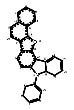 C1=CCCC(N2c3ccc4c(oc5c6ccccc6ccc45)c3C3=CC=CCC32)=C1